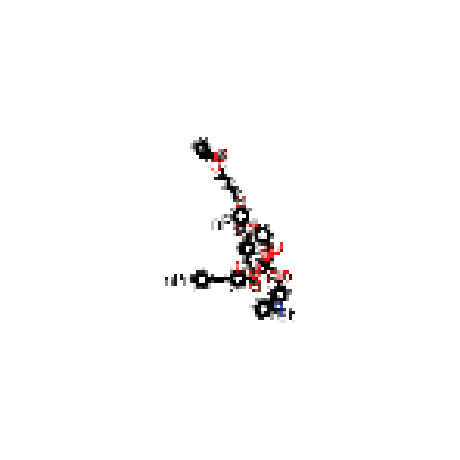 CCCCCC1CCC(C(=O)OCC(COC(=O)c2ccc(C#Cc3ccc(CCC)cc3)cc2)(COC(=O)c2ccc(C(=O)OC3=CC=C(OCCCCCCOC(=O)C4CC5C=CC4C5)CC3)cc2)COC(=O)c2ccc3c(c2)c2ccccc2n3CC)CC1